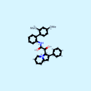 COc1ccc(-c2ccccc2NC(=O)C(=O)c2c(-c3ccccc3)cc3ccccn23)c(OC)c1